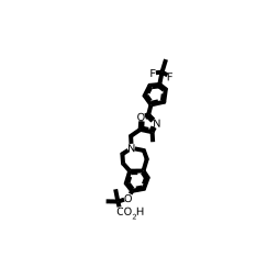 Cc1nc(-c2ccc(C(C)(F)F)cc2)oc1CN1CCc2ccc(OC(C)(C)C(=O)O)cc2CC1